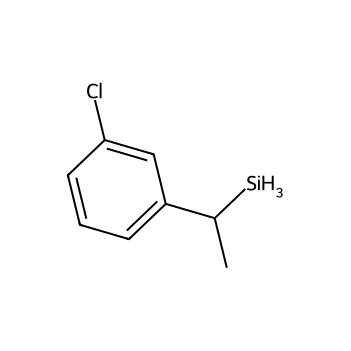 CC([SiH3])c1cccc(Cl)c1